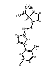 COC(=O)C1(C)C(CNc2nc(-c3cc(C)ccc3O)cs2)CC[C@H]1C